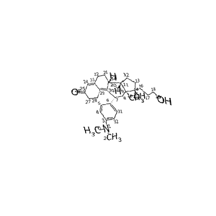 CN(C)c1ccc([C@H]2C[C@]3(C)[C@@H](CC[C@]3(O)CCCO)[C@H]3CCC4=CC(=O)CCC4=C23)cc1